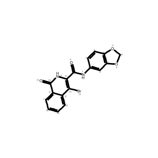 O=C(Nc1ccc2c(c1)OCO2)c1[nH]c(=O)c2ccccc2c1Br